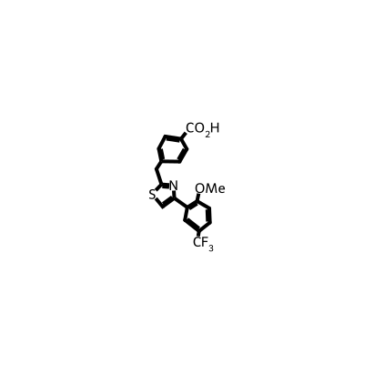 COc1ccc(C(F)(F)F)cc1-c1csc(Cc2ccc(C(=O)O)cc2)n1